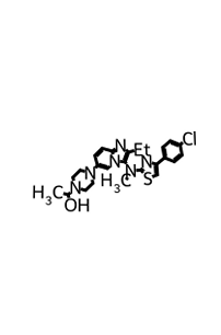 CCc1nc2ccc(N3CCN(C(C)O)CC3)cn2c1N(C)c1nc(-c2ccc(Cl)cc2)cs1